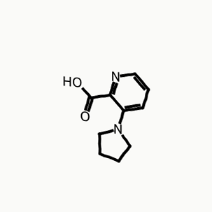 O=C(O)c1ncccc1N1CCCC1